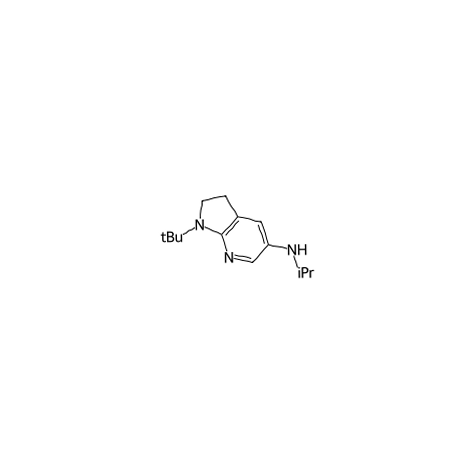 CC(C)Nc1cnc2c(c1)CCN2C(C)(C)C